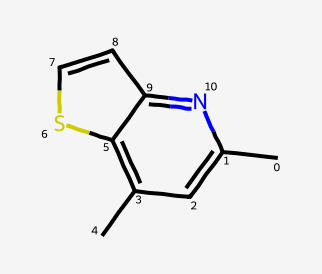 Cc1cc(C)c2sccc2n1